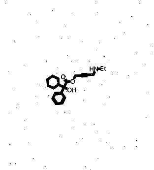 CCNCC#CCOC(=O)C(O)(c1ccccc1)C1CCCCC1